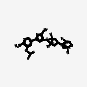 CC(C)n1nc(-c2cnc(N)c(OC(F)F)c2)cc1[C@H]1[C@@H]2CC(N3C[C@@H]4C[C@H]3CO4)C[C@@H]21